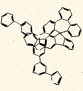 c1ccc(-c2ccc(N(c3ccc(-c4cccc(-c5ccco5)c4)cc3)c3ccc4c(c3)C3(c5ccccc5-c5ccccc5-4)c4ccccc4-c4cc5sc6ccccc6c5cc43)cc2)cc1